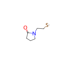 O=C1CCCN1CC[S]